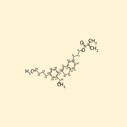 C=C(C)C(=O)OCCCc1ccc2c(c1)C=C(c1ccc(CCCCC)cc1CC)CC2